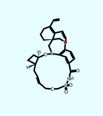 C=CC1=C(/C=C\C)[C@]2(CCC1)COc1ccc3cc1N(C[C@@H]1CC[C@H]1C/C=C/CCCS(=O)(=O)NC3=O)C2